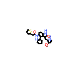 COc1cc[nH]c1/C=C1\C(=O)Nc2ccc(NC(=O)Cc3cccs3)c(-c3ccccc3)c21